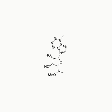 COC(C)[C@H]1O[C@@H](n2cnc3c(C)ncnc32)[C@H](O)[C@@H]1O